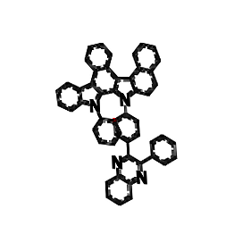 c1ccc(-c2nc3ccccc3nc2-c2ccc(-n3c4ccc5ccccc5c4c4c5ccccc5c5c6ccccc6n(-c6ccccc6)c5c43)cc2)cc1